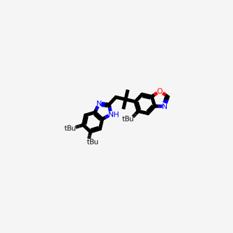 CC(C)(C)c1cc2nc(CC(C)(C)c3cc4ocnc4cc3C(C)(C)C)[nH]c2cc1C(C)(C)C